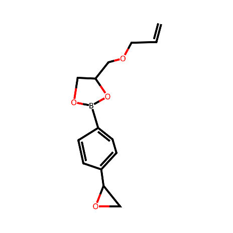 C=CCOCC1COB(c2ccc(C3CO3)cc2)O1